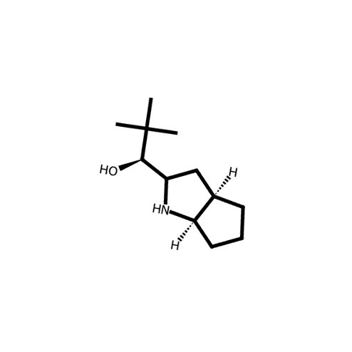 CC(C)(C)[C@H](O)C1C[C@H]2CCC[C@H]2N1